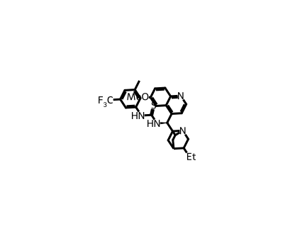 CCC1CN2CCC1CC2[C@@H](NC(=S)Nc1cc(C)cc(C(F)(F)F)c1)c1ccnc2ccc(OC)cc12